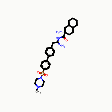 CN1CCN(S(=O)(=O)c2ccc(-c3ccc(CC(N)NC(=O)[C@]4(N)CCC5CCCCC5C4)cc3)cc2)CC1